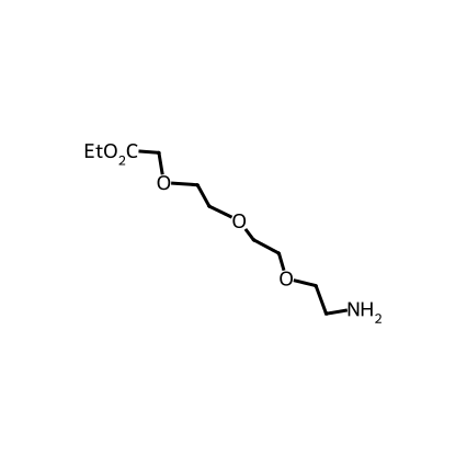 CCOC(=O)COCCOCCOCCN